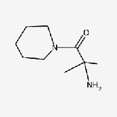 CC(C)(N)C(=O)N1CCCCC1